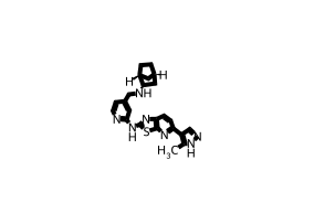 Cc1[nH]ncc1-c1ccc2nc(Nc3cc(CN[C@@H]4C[C@@H]5CC[C@@H]4C5)ccn3)sc2n1